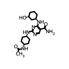 CC(=O)N[C@H]1CC[C@@H](Nc2ncc(C(N)=O)c(N[C@@H]3CCC[C@H](O)C3)n2)CC1